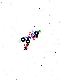 CC(C)(C)OC(=O)C=C1CCC(N(Cc2ccc(F)cc2)C(=O)CN2C(=O)N[C@]3(CCc4cc(Br)ccc43)C2=O)CC1